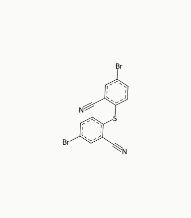 N#Cc1cc(Br)ccc1Sc1ccc(Br)cc1C#N